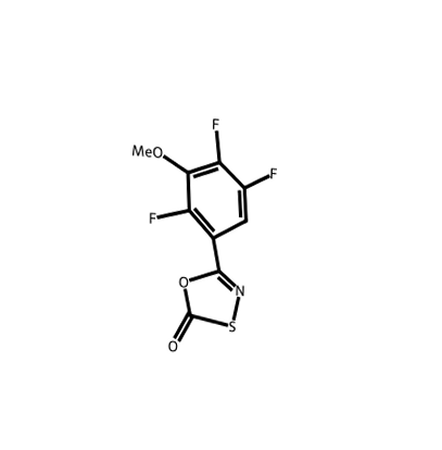 COc1c(F)c(F)cc(-c2nsc(=O)o2)c1F